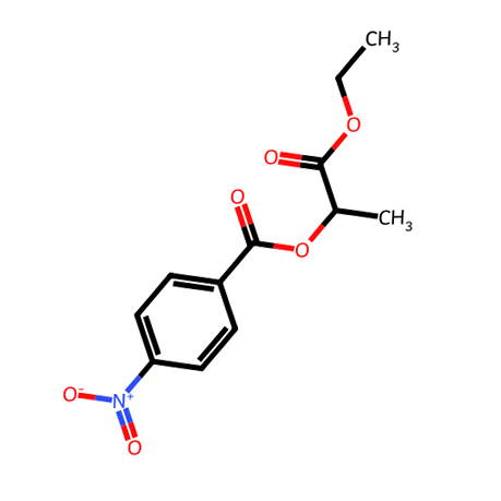 CCOC(=O)C(C)OC(=O)c1ccc([N+](=O)[O-])cc1